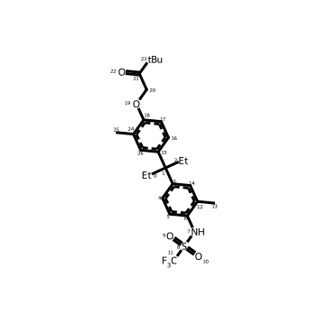 CCC(CC)(c1ccc(NS(=O)(=O)C(F)(F)F)c(C)c1)c1ccc(OCC(=O)C(C)(C)C)c(C)c1